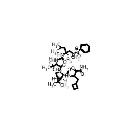 CC(C)CC(C)(CN(C)S(=O)(=O)c1ccccc1)NC(=O)N[C@H](C(=O)N1C[C@H]2[C@@H]([C@H]1C(=O)NC(CC1CCC1)C(=O)C(N)=O)C2(C)C)C(C)(C)C